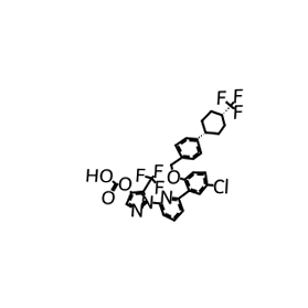 O=C(O)Oc1cnn(-c2cccc(-c3cc(Cl)ccc3OCc3ccc([C@H]4CC[C@@H](C(F)(F)F)CC4)cc3)n2)c1C(F)(F)F